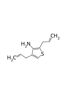 C=CCc1csc(CC=C)c1N